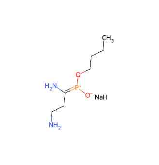 CCCCO/[P+]([O-])=C(\N)CCN.[NaH]